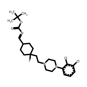 CC(C)(C)OC(=O)/N=C/C1CCC(F)(CCN2CCN(c3cccc(Cl)c3Cl)CC2)CC1